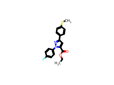 CCOC(=O)c1cc(-c2ccc(SC)cc2)nn1-c1ccc(F)cc1